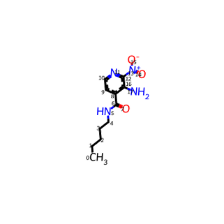 CCCCCNC(=O)c1ccnc([N+](=O)[O-])c1N